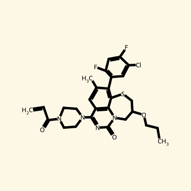 C=CC(=O)N1CCN(c2nc(=O)n3c4c(c(-c5cc(Cl)c(F)cc5F)c(C)cc24)SCC(OCCC)C3)CC1